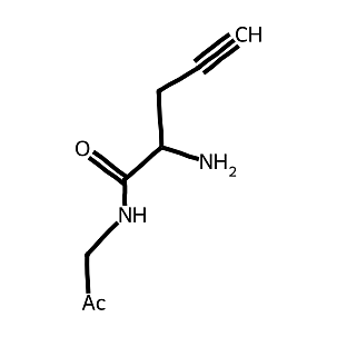 C#CCC(N)C(=O)NCC(C)=O